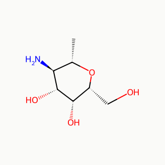 C[C@@H]1O[C@H](CO)[C@H](O)[C@H](O)[C@H]1N